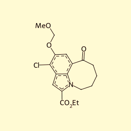 CCOC(=O)c1cc2c(Cl)c(OCOC)cc3c2n1CCCCC3=O